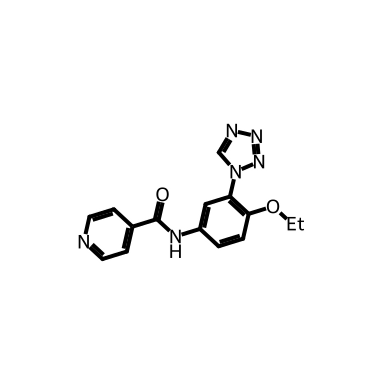 CCOc1ccc(NC(=O)c2ccncc2)cc1-n1cnnn1